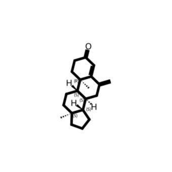 C=C1C[C@H]2[C@@H]3CCC[C@@]3(C)CC[C@@H]2[C@@]2(C)CCC(=O)C=C12